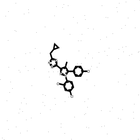 Cc1c(-c2nnc(CC3CC3)s2)nn(-c2ccc(Cl)cc2Cl)c1-c1ccc(Cl)cc1